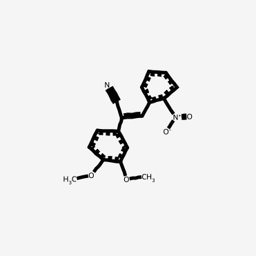 COc1ccc(C(C#N)=Cc2ccccc2[N+](=O)[O-])cc1OC